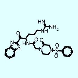 N=C(N)NCCCC(NC(=O)CN1CCN(S(=O)(=O)c2ccccc2)CC1=O)C(=O)c1nc2ccccc2s1